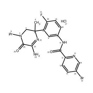 CC(C)N1CC(C)(c2cc(NC(=O)c3ccc(Br)cn3)ccc2F)N=C(N)C1=O.Cl